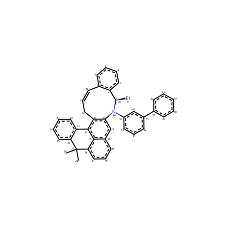 CC[C@@H]1c2ccccc2/C=C\Cc2c(cc3cccc4c3c2-c2ccccc2C4(C)C)N1c1cccc(-c2ccccc2)c1